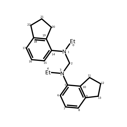 CCN(CN(CC)c1cccc2c1CCC2)c1cccc2c1CCC2